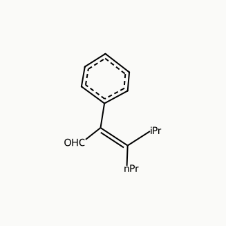 CCCC(=C(C=O)c1ccccc1)C(C)C